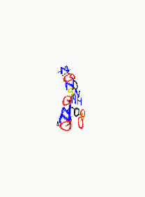 CN(C)C(C)(C)COc1ccc2nc(NC(=O)/C(=N/N3CCOCC3)c3ccc(S(C)(=O)=O)cc3)sc2n1